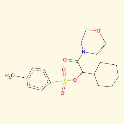 Cc1ccc(S(=O)(=O)OC(C(=O)N2CCOCC2)C2CCCCC2)cc1